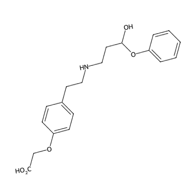 O=C(O)COc1ccc(CCNCCC(O)Oc2ccccc2)cc1